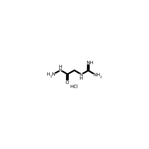 Cl.N=C(N)NCC(=O)NN